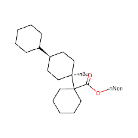 CCCCCCCCCOC(=O)C1([C@]2(CCCC)CC[C@H](C3CCCCC3)CC2)CCCCC1